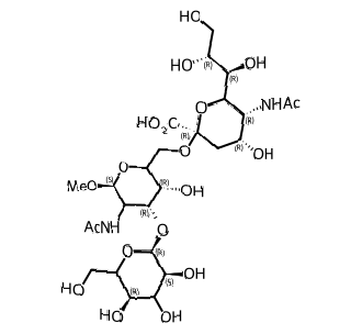 CO[C@H]1OC(CO[C@]2(C(=O)O)C[C@@H](O)[C@@H](NC(C)=O)C([C@H](O)[C@H](O)CO)O2)[C@H](O)[C@H](O[C@@H]2OC(CO)[C@H](O)C(O)[C@@H]2O)C1NC(C)=O